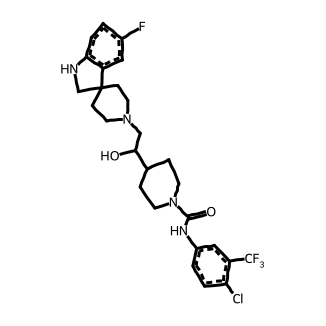 O=C(Nc1ccc(Cl)c(C(F)(F)F)c1)N1CCC(C(O)CN2CCC3(CC2)CNc2ccc(F)cc23)CC1